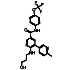 Cc1ccc(-c2cc(C(=O)Nc3ccc(OC(F)(F)F)cc3)cnc2NCCCO)cn1